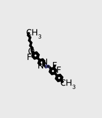 CCCCCCCOc1ccc(-c2cnc(/C=C/c3ccc(-c4ccc(C)cc4)c(F)c3F)nc2)cc1F